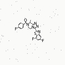 CC1c2nnc(-c3nc4cc(F)cc(F)c4s3)n2CCN1C(=O)c1ccc(F)cc1